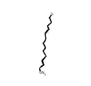 [Li][CH2]CC/C=C/CCCCCCCCC